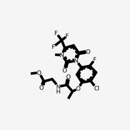 COC(=O)CNC(=O)C(C)Oc1cc(-n2c(=O)cc(C(F)(F)F)n(C)c2=O)c(F)cc1Cl